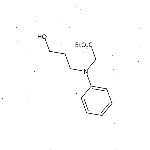 CCOC(=O)CN(CCCO)c1ccccc1